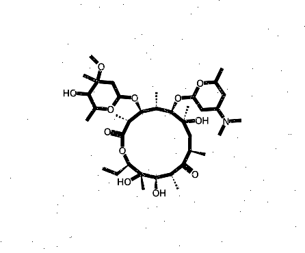 CC[C@H]1OC(=O)[C@H](C)[C@@H](OC2CC(C)(OC)C(O)C(C)O2)[C@H](C)[C@@H](OC2CC(N(C)C)CC(C)O2)[C@@](C)(O)C[C@@H](C)C(=O)[C@H](C)[C@@H](O)[C@]1(C)O